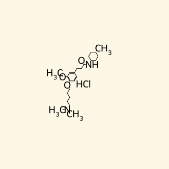 COc1cc(CCC(=O)NC2CCC(C)CC2)ccc1OCCCCCN(C)C.Cl